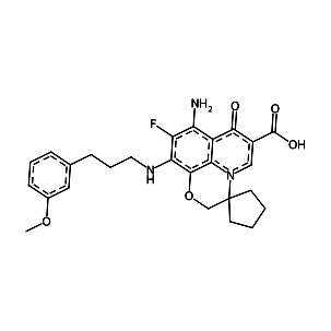 COc1cccc(CCCNc2c(F)c(N)c3c(=O)c(C(=O)O)cn4c3c2OCC42CCCC2)c1